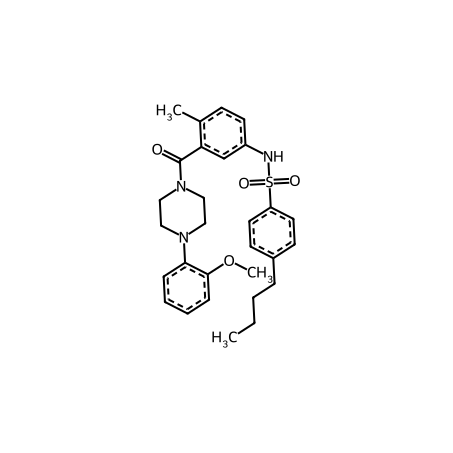 CCCCc1ccc(S(=O)(=O)Nc2ccc(C)c(C(=O)N3CCN(c4ccccc4OC)CC3)c2)cc1